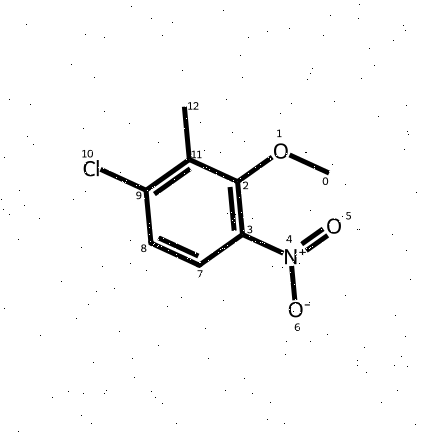 COc1c([N+](=O)[O-])ccc(Cl)c1C